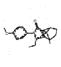 CCn1c2c(c(=O)n1-c1ccc(OC)cc1)C1CCC2(C)C1(C)C